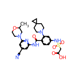 CC1CN(c2cc(C#N)cc(NC(=O)c3ccc(NS(=O)(=O)CC(=O)O)cc3N3CCC4(CC3)CC4)n2)CCO1